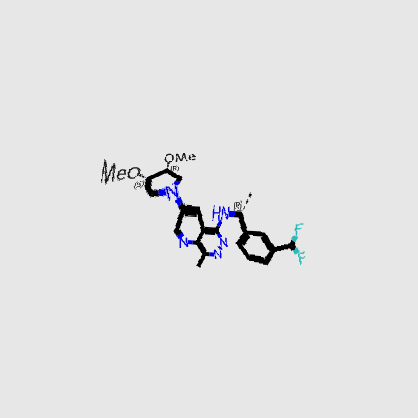 CO[C@H]1CN(c2cnc3c(C)nnc(N[C@H](C)c4cccc(C(F)F)c4)c3c2)C[C@H]1OC